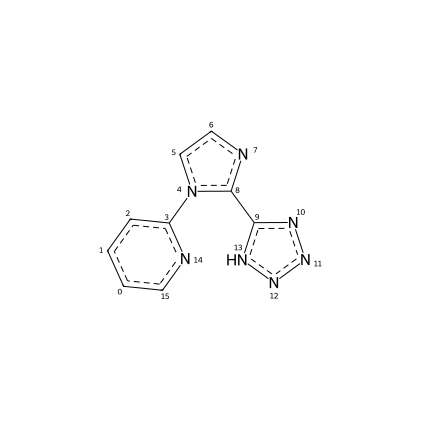 c1ccc(-n2ccnc2-c2nnn[nH]2)nc1